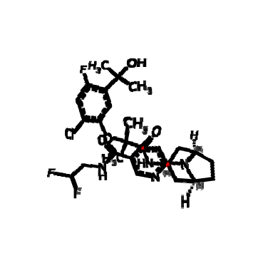 CC(C)(Oc1cc(C(C)(C)O)c(F)cc1Cl)C(=O)N[C@H]1C[C@H]2CC[C@@H](C1)N2c1ccc(C(=O)NCC(F)F)cn1